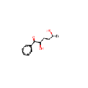 CCC(O)CCC(O)C(=O)c1ccccc1